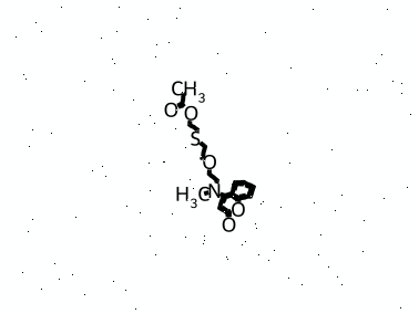 CCC(=O)OCCSCCOCCN(C)c1cc(=O)oc2ccccc12